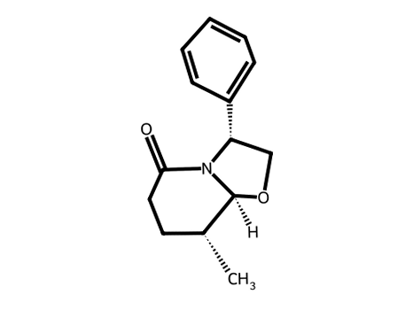 C[C@@H]1CCC(=O)N2[C@H](c3ccccc3)CO[C@@H]12